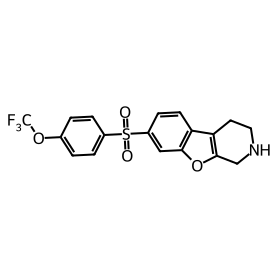 O=S(=O)(c1ccc(OC(F)(F)F)cc1)c1ccc2c3c(oc2c1)CNCC3